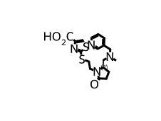 CN(Cc1cccnc1)C[C@H]1CCC(=O)N1CCSc1nc(C(=O)O)cs1